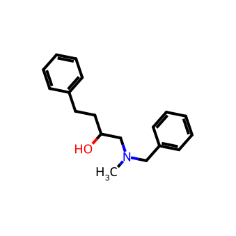 CN(Cc1ccccc1)CC(O)CCc1ccccc1